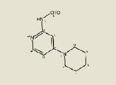 O=CNc1cc(N2CCCCC2)ccn1